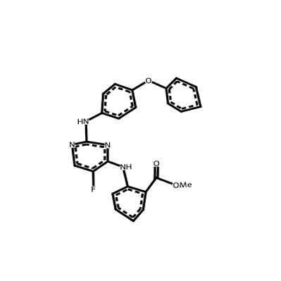 COC(=O)c1ccccc1Nc1nc(Nc2ccc(Oc3ccccc3)cc2)ncc1F